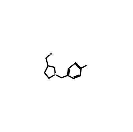 CC(C)CC1CCN(Cc2ccc(F)cc2)C1